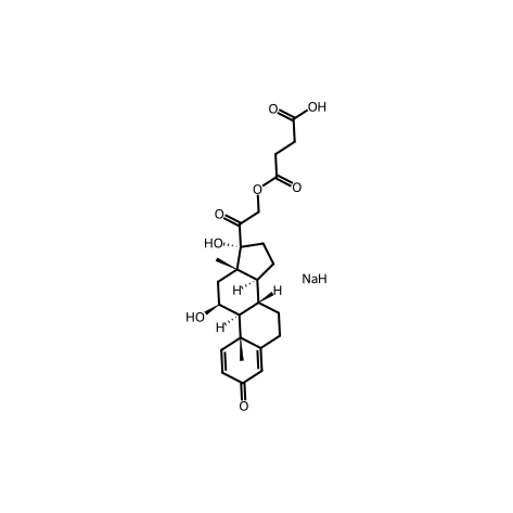 C[C@]12C=CC(=O)C=C1CC[C@@H]1[C@@H]2[C@@H](O)C[C@@]2(C)[C@H]1CC[C@]2(O)C(=O)COC(=O)CCC(=O)O.[NaH]